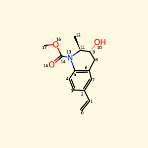 C=Cc1ccc2c(c1)C[C@@H](O)[C@H](C)N2C(=O)OC